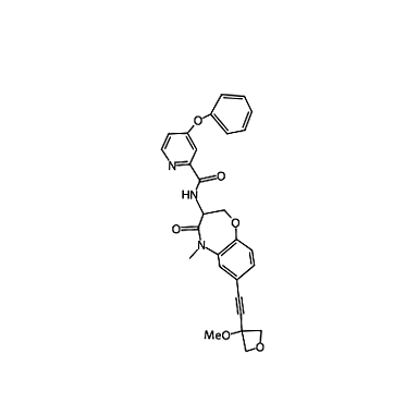 COC1(C#Cc2ccc3c(c2)N(C)C(=O)C(NC(=O)c2cc(Oc4ccccc4)ccn2)CO3)COC1